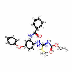 COC(=O)/N=C(/Nc1ccc(Oc2ccccc2)cc1NC(=O)c1ccccc1)SC